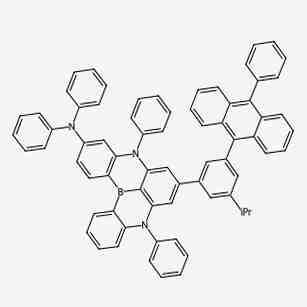 CC(C)c1cc(-c2cc3c4c(c2)N(c2ccccc2)c2cc(N(c5ccccc5)c5ccccc5)ccc2B4c2ccccc2N3c2ccccc2)cc(-c2c3ccccc3c(-c3ccccc3)c3ccccc23)c1